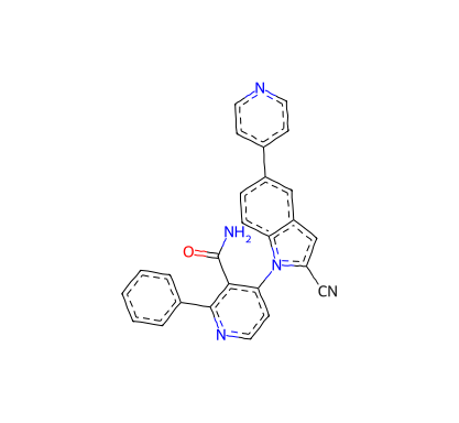 N#Cc1cc2cc(-c3ccncc3)ccc2n1-c1ccnc(-c2ccccc2)c1C(N)=O